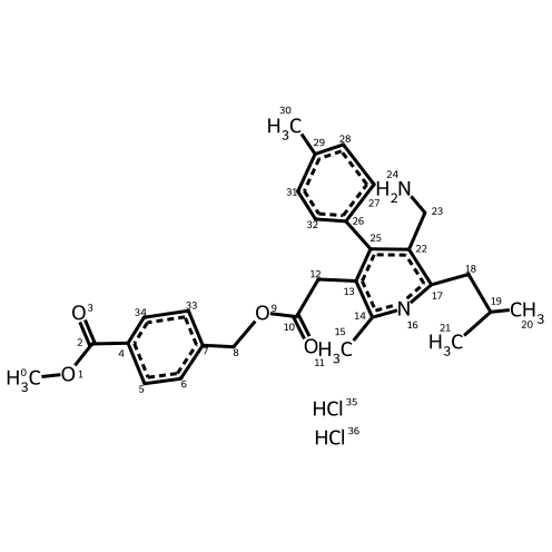 COC(=O)c1ccc(COC(=O)Cc2c(C)nc(CC(C)C)c(CN)c2-c2ccc(C)cc2)cc1.Cl.Cl